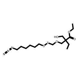 CCOC(=O)C(CC)(CO)COCSSCCCCCCN=[N+]=[N-]